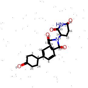 O=C1CCC(c2ccc3c(c2)C(=O)N(C2CCC(=O)NC2=O)C3=O)CC1